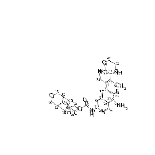 Cc1c(-c2cc3cc(NC(=O)OCCC4C5COCC4CN(C)C5)ncc3c(N)c2F)cnc2c1NCCO2